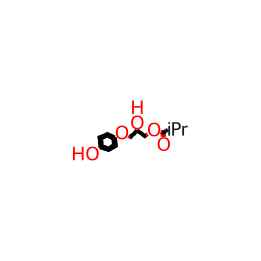 CC(C)C(=O)OCC(O)COc1ccc(O)cc1